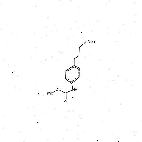 CCCCCCCCCCCCc1ccc(NC(=S)[S][Mo])cc1